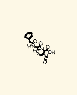 O=C=NC1=CS[C@H]2C(NC(=O)Cc3ccccc3)C(=O)N2C1C(=O)O